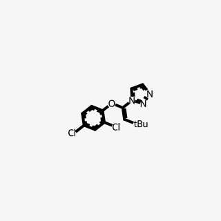 CC(C)(C)C=C(Oc1ccc(Cl)cc1Cl)n1ccnn1